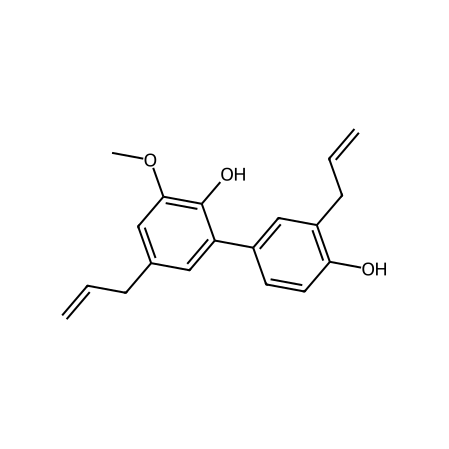 C=CCc1cc(OC)c(O)c(-c2ccc(O)c(CC=C)c2)c1